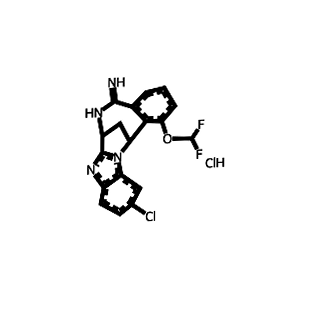 Cl.N=C1NC2CC(c3c(OC(F)F)cccc31)n1c2nc2ccc(Cl)cc21